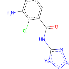 Nc1cccc(C(=O)Nc2nnn[nH]2)c1Cl